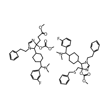 COC(=O)CCC1(OC(=O)OC)N=CN(CCc2ccccc2)C1C1CCC(C(c2cccc(F)c2)N(C)C)CC1.COC(=O)OC1(CSCc2ccccc2)N=CN(CCc2ccccc2)C1C1CCC(C(c2cccc(F)c2)N(C)C)CC1